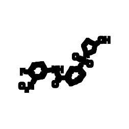 O=C(Nc1ccc(F)c([N+](=O)[O-])c1)c1cccc(S(=O)(=O)N2CCC(O)C2)c1